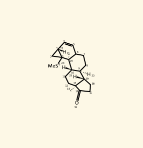 CSC12C[C@@H]1C=CC1CC[C@@H]3[C@H](CC[C@]4(C)C(=O)CC[C@@H]34)[C@]12C